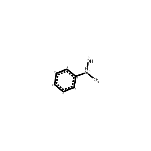 [O][SiH](O)c1ccccc1